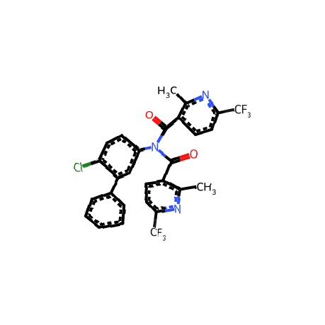 Cc1nc(C(F)(F)F)ccc1C(=O)N(C(=O)c1ccc(C(F)(F)F)nc1C)c1ccc(Cl)c(-c2ccccc2)c1